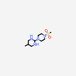 CC1CNC(N2CCN(S(C)(=O)=O)CC2)NC1